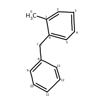 Cc1ccccc1[CH]c1c[c]ccc1